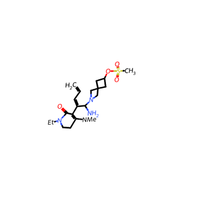 C=C/C=C(/C1=C(NC)CCN(CC)C1=O)C(N)N1CC2(CC(OS(C)(=O)=O)C2)C1